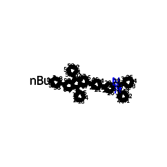 CCCCc1ccc(-c2ccc3c(-c4ccccc4)c4cc(-c5ccc(-c6ccc7c(c6)nc(-c6ccccc6)n7-c6ccccc6)cc5)ccc4c(-c4ccccc4)c3c2)cc1